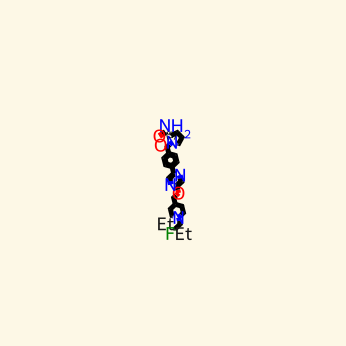 CCC(F)(CC)CN1CCC(COc2cnc(-c3ccc(C(=O)N4CCC[C@H]4C(N)=O)cc3)cn2)CC1